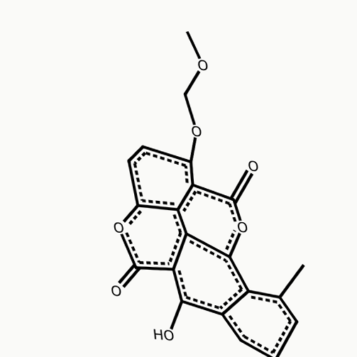 COCOc1ccc2oc(=O)c3c(O)c4cccc(C)c4c4oc(=O)c1c2c34